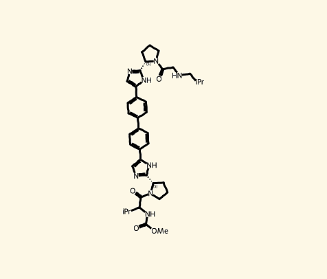 COC(=O)NC(C(=O)N1CCC[C@H]1c1ncc(-c2ccc(-c3ccc(-c4cnc([C@@H]5CCCN5C(=O)CNCC(C)C)[nH]4)cc3)cc2)[nH]1)C(C)C